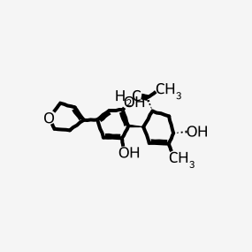 C=C(C)[C@@H]1C[C@H](O)C(C)=C[C@H]1c1c(O)cc(C2=CCOCC2)cc1O